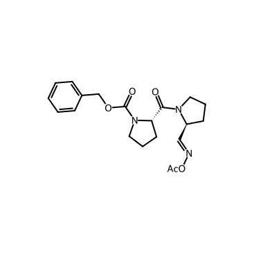 CC(=O)O/N=C/[C@@H]1CCCN1C(=O)[C@@H]1CCCN1C(=O)OCc1ccccc1